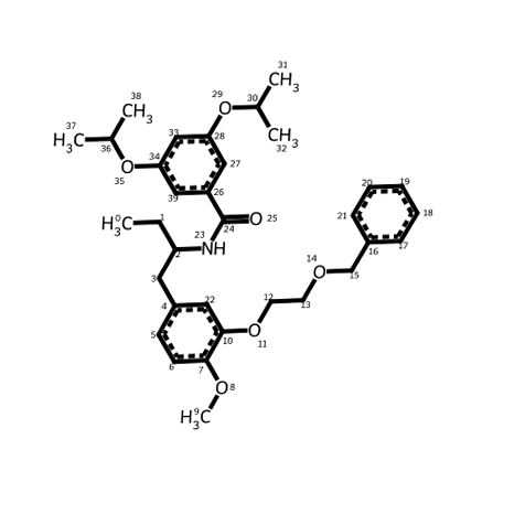 CCC(Cc1ccc(OC)c(OCCOCc2ccccc2)c1)NC(=O)c1cc(OC(C)C)cc(OC(C)C)c1